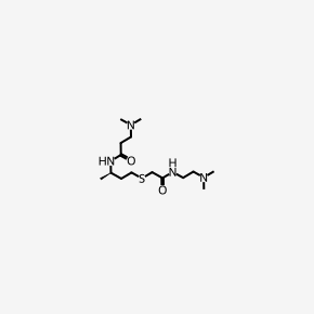 C[C@H](CCSCC(=O)NCCN(C)C)NC(=O)CCN(C)C